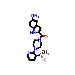 CCN(C)c1cccnc1N1CCN(C(=O)c2cc3cc(N)ccc3[nH]2)CC1